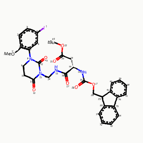 COc1ccc(I)cc1N1CCC(=O)N(CNC(=O)[C@H](CC(=O)OC(C)(C)C)NC(=O)OCC2c3ccccc3-c3ccccc32)C1=O